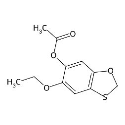 CCOc1cc2c(cc1OC(C)=O)OCS2